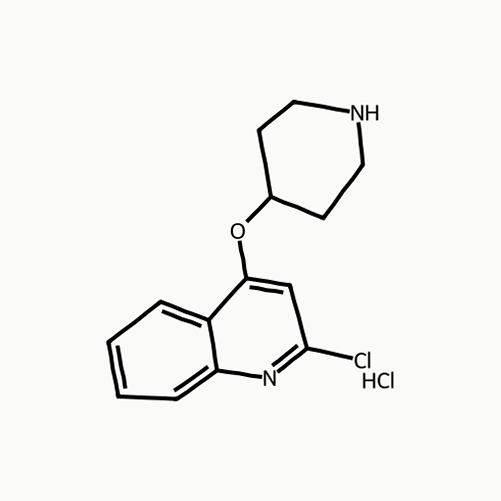 Cl.Clc1cc(OC2CCNCC2)c2ccccc2n1